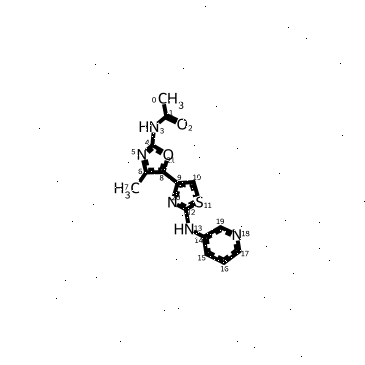 CC(=O)Nc1nc(C)c(-c2csc(Nc3cccnc3)n2)o1